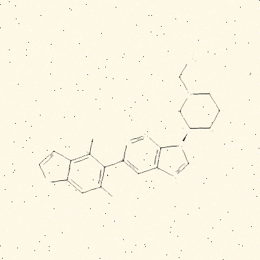 Cc1cc2occc2c(O)c1-c1cc2ncn([C@@H]3CCCN(CC#N)C3)c2nn1